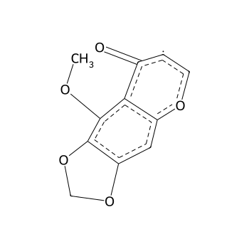 COc1c2c(cc3oc[c]c(=O)c13)OCO2